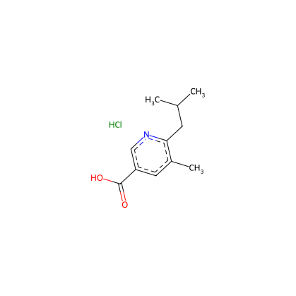 Cc1cc(C(=O)O)cnc1CC(C)C.Cl